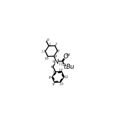 CC1CCC(N(Cc2ccccc2)C(=O)C(C)(C)C)CC1